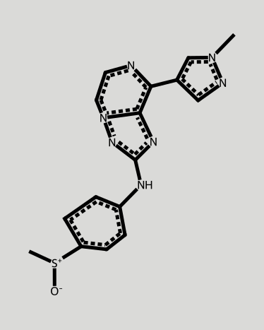 Cn1cc(-c2nccn3nc(Nc4ccc([S+](C)[O-])cc4)nc23)cn1